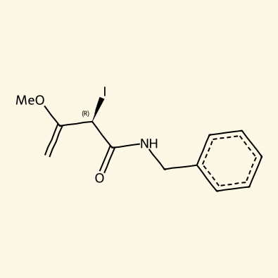 C=C(OC)[C@@H](I)C(=O)NCc1ccccc1